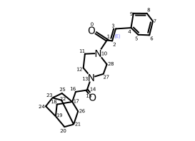 O=C(/C=C/c1ccccc1)N1CCN(C(=O)CC23CC4CC(CC(C4)C2)C3)CC1